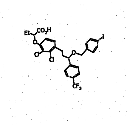 CCC(Oc1ccc(CCC(OCc2ccc(I)cc2)c2ccc(C(F)(F)F)cc2)c(Cl)c1Cl)C(=O)O